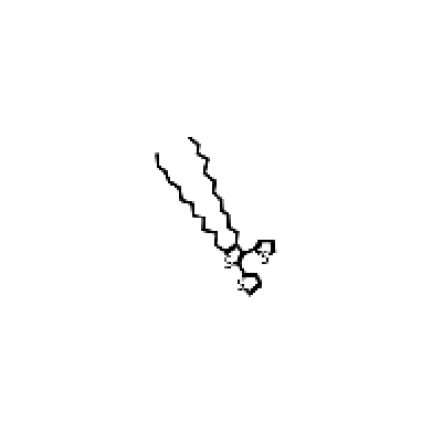 CCCCCCCCCCCCc1sc(-c2cccs2)c(-c2cccs2)c1CCCCCCCCCCCC